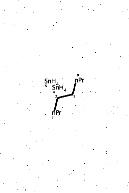 [CH2]CCCCCCC.[SnH4].[SnH4]